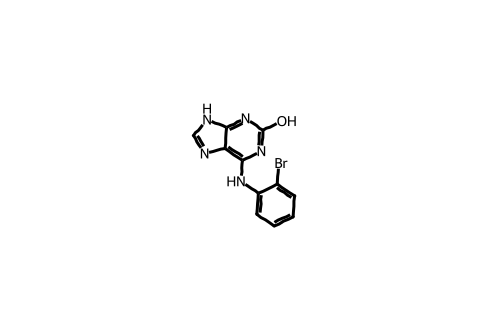 Oc1nc(Nc2ccccc2Br)c2nc[nH]c2n1